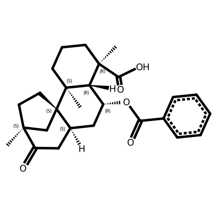 C[C@]12CC[C@]3(C1)[C@H](CC2=O)C[C@@H](OC(=O)c1ccccc1)[C@H]1[C@](C)(C(=O)O)CCC[C@@]13C